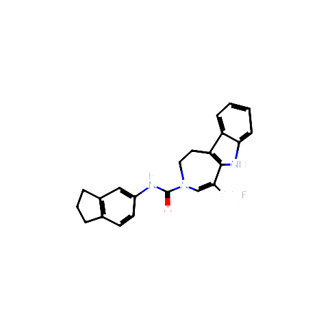 CCOC(=O)C1=CN(C(=O)Nc2ccc3c(c2)CCC3)CCc2c1[nH]c1ccccc21